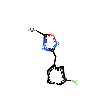 [CH2]c1nc(-c2cccc(F)c2)no1